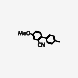 COc1ccc(-c2ccc(C)cc2)c(C#N)c1